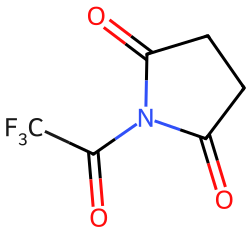 O=C1CCC(=O)N1C(=O)C(F)(F)F